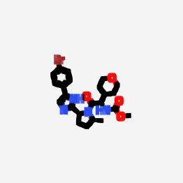 COC(=O)N[C@H](C(=O)N1[C@@H](C)CC[C@H]1c1ncc(-c2ccc(Br)cc2)[nH]1)C1CCOCC1